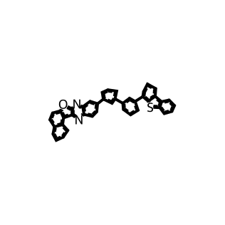 c1cc(-c2cccc(-c3cccc4c3sc3ccccc34)c2)cc(-c2ccc3nc4c(nc3c2)oc2ccc3ccccc3c24)c1